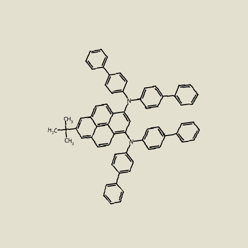 CC(C)(C)c1cc2ccc3c(N(c4ccc(-c5ccccc5)cc4)c4ccc(-c5ccccc5)cc4)cc(N(c4ccc(-c5ccccc5)cc4)c4ccc(-c5ccccc5)cc4)c4ccc(c1)c2c34